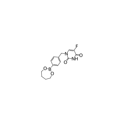 O=c1[nH]c(=O)n(Cc2ccc(B3OCCCCO3)cc2)cc1F